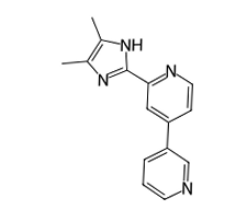 Cc1nc(-c2cc(-c3cccnc3)ccn2)[nH]c1C